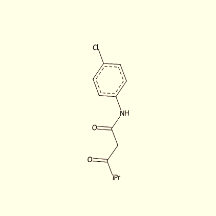 CC(C)C(=O)CC(=O)Nc1ccc(Cl)cc1